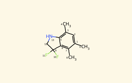 Cc1cc(C)c2c(c1C)C(F)(F)CN2